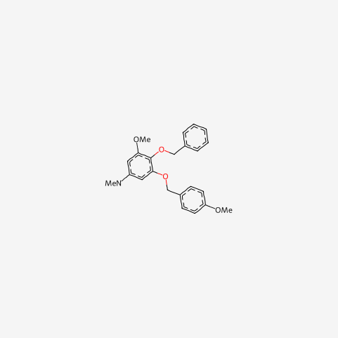 CNc1cc(OC)c(OCc2ccccc2)c(OCc2ccc(OC)cc2)c1